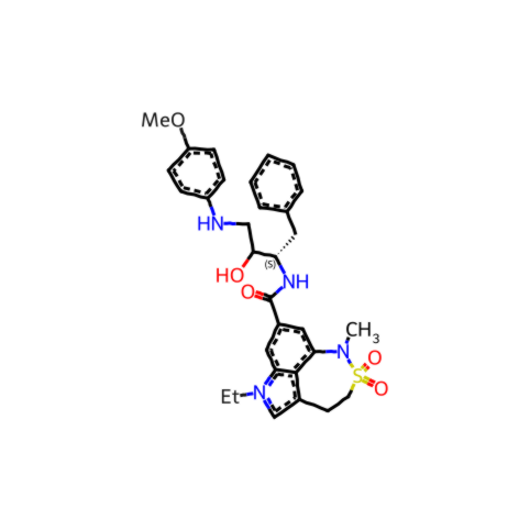 CCn1cc2c3c(cc(C(=O)N[C@@H](Cc4ccccc4)C(O)CNc4ccc(OC)cc4)cc31)N(C)S(=O)(=O)CC2